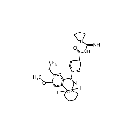 COc1cc2c(cc1OC)[C@H]1CCCC[C@H]1N=C2c1ccc(C(=O)NC(=N)N2CCCC2)cc1